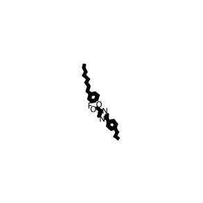 CCCCCCCCc1ccc(OC(=O)c2cnc(-c3ccc(CCC)cc3)cn2)c(F)c1